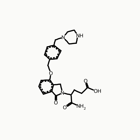 NC(=O)C(CCC(=O)O)N1Cc2c(OCc3ccc(CN4CCNCC4)cc3)cccc2C1=O